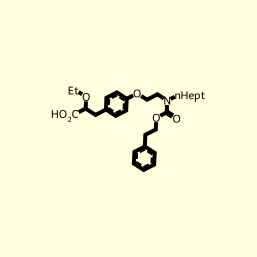 CCCCCCCN(CCOc1ccc(CC(OCC)C(=O)O)cc1)C(=O)OCCc1ccccc1